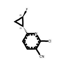 N#Cc1ccc([C@@H]2C[C@H]2F)nc1Cl